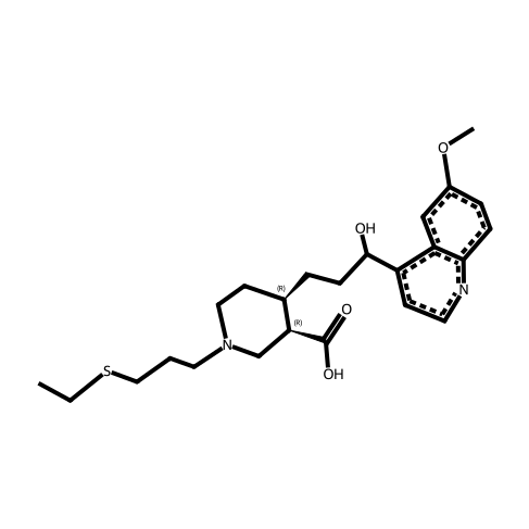 CCSCCCN1CC[C@@H](CCC(O)c2ccnc3ccc(OC)cc23)[C@@H](C(=O)O)C1